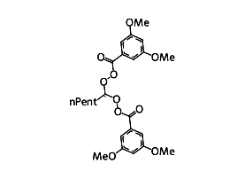 [CH2]CCCC[C](OOC(=O)c1cc(OC)cc(OC)c1)OOC(=O)c1cc(OC)cc(OC)c1